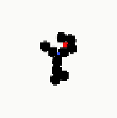 c1ccc(-c2ccc(N(c3ccc(-c4ccc(-c5ccccc5)c(-c5ccccc5)c4)cc3)c3ccc(-c4cccc5c4oc4c(-c6ccccc6)cccc45)cc3)cc2)cc1